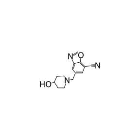 N#Cc1cc(CN2CCC(O)CC2)cc2ncoc12